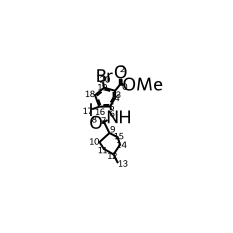 COC(=O)c1cc(NC(=O)C2CCC(C)CC2)c(I)cc1Br